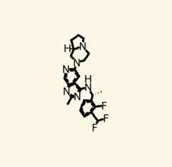 Cc1nc(N[C@H](C)c2cccc(C(F)F)c2F)c2cc(N3CCN4CCC[C@@H]4C3)ncc2n1